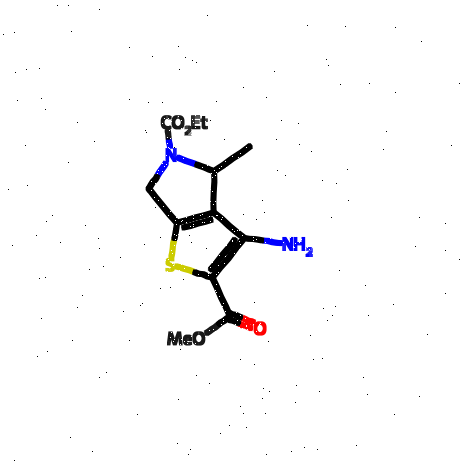 CCOC(=O)N1Cc2sc(C(=O)OC)c(N)c2C1C